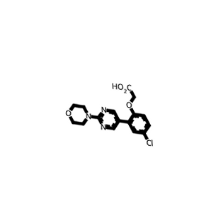 O=C(O)COc1ccc(Cl)cc1-c1cnc(N2CCOCC2)nc1